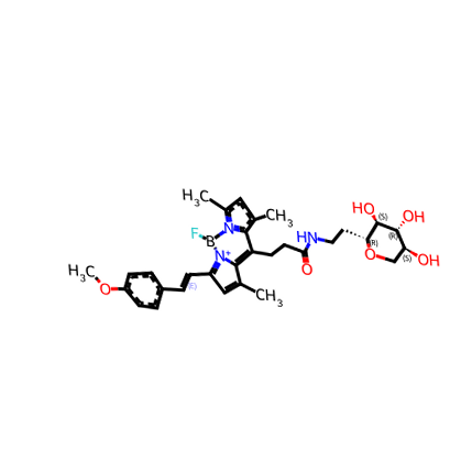 COc1ccc(/C=C/C2=[N+]3B(F)n4c(C)cc(C)c4C(CCC(=O)NCC[C@H]4OC[C@H](O)[C@@H](O)[C@@H]4O)=C3C(C)=C2)cc1